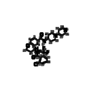 CN(C(=O)c1ccc2c(c1)C(NC(=O)c1c(Cl)cccc1C(F)(F)F)CCO2)C1CCN(c2ccncc2)CC1